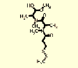 COC(O)C(C)N(C)C(=O)C(C)N(C)C(=O)CCSSC